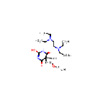 CCCC(C)C1(CC)C(=O)N=C(O)NC1=O.CCOC(=O)CN(CCN(CC(=O)O)CC(=O)O)CC(=O)O.CCOCC.[NaH]